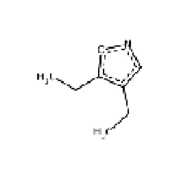 CCc1cnoc1CC